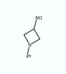 CC(C)N1CC(N=O)C1